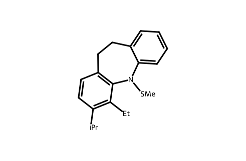 CCc1c(C(C)C)ccc2c1N(SC)c1ccccc1CC2